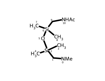 CNC[Si](C)(C)O[Si](C)(C)CNC(C)=O